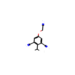 CC(C)c1c(C#N)cc(OCC#N)cc1C#N